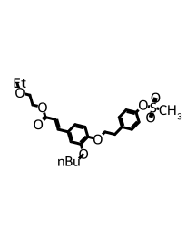 CCCCOc1cc(/C=C/C(=O)OCCOCC)ccc1OCCc1ccc(OS(C)(=O)=O)cc1